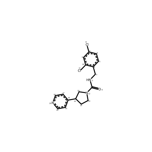 O=C(NCc1ccc(Cl)cc1Cl)N1CCC(c2ccncc2)C1